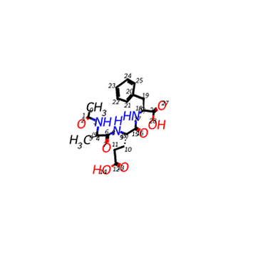 CC(=O)N[C@@H](C)C(=O)N[C@@H](CCC(=O)O)C(=O)N[C@@H](Cc1ccccc1)C(=O)O